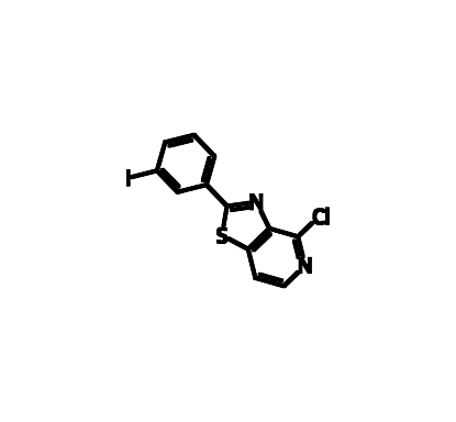 Clc1nccc2sc(-c3cccc(I)c3)nc12